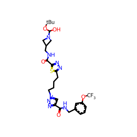 CC(C)(C)OC(O)N1CC(CNC(=O)c2nnc(CCCCn3cc(C(=O)NCc4cccc(OC(F)(F)F)c4)nn3)s2)C1